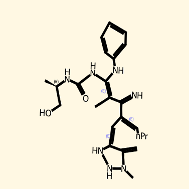 C=C1/C(=C\C(=C/CCC)C(=N)/C(C)=C(/NC(=O)N[C@H](C)CO)Nc2ccccc2)NNN1C